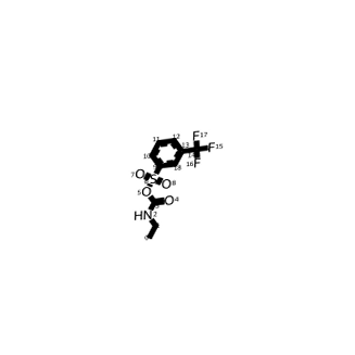 CCNC(=O)OS(=O)(=O)c1cccc(C(F)(F)F)c1